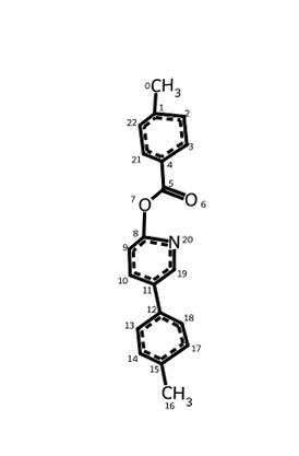 Cc1ccc(C(=O)Oc2ccc(-c3ccc(C)cc3)cn2)cc1